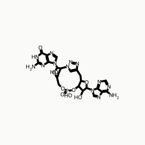 Nc1nc2c(ncn2C2OC3COP(=O)(O)OC4C(Cc5cn(nn5)C2C3O)OC(n2cnc3c(N)ncnc32)C4O)c(=O)[nH]1